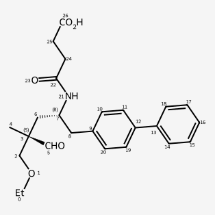 CCOC[C@@](C)(C=O)C[C@@H](Cc1ccc(-c2ccccc2)cc1)NC(=O)CCC(=O)O